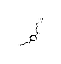 CC(C)CCCc1ccc(N(C)CCCNC=O)nc1